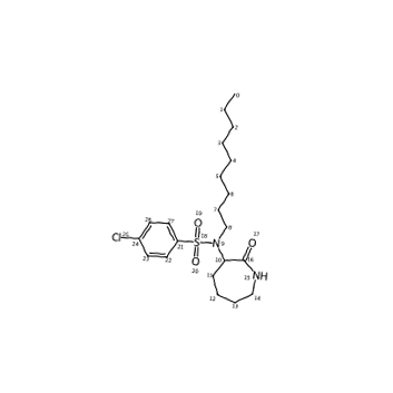 CCCCCCCCCN(C1CCCCNC1=O)S(=O)(=O)c1ccc(Cl)cc1